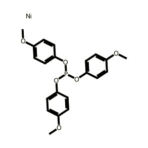 COc1ccc(OP(Oc2ccc(OC)cc2)Oc2ccc(OC)cc2)cc1.[Ni]